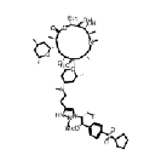 CC[C@H]1OC(=O)[C@H](C)[C@@H](C2C[C@H](C)C[C@H](C)O2)C[C@@H](O[C@H]2C[C@@H](N(C)CCC3=CN([C@H](CF)[C@H](OC)c4ccc(S(=O)(=O)C5CCCC5)cc4)N(C)N3)C[C@@H](C)O2)[C@](C)(O)C[C@@H](C)CN(C)[C@H](C)[C@@H](O)[C@]1(C)O